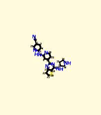 N#Cc1ccc(Nc2cc(-c3nc(N[C@@H]4CCNC4)c4sccc4n3)ccn2)nc1